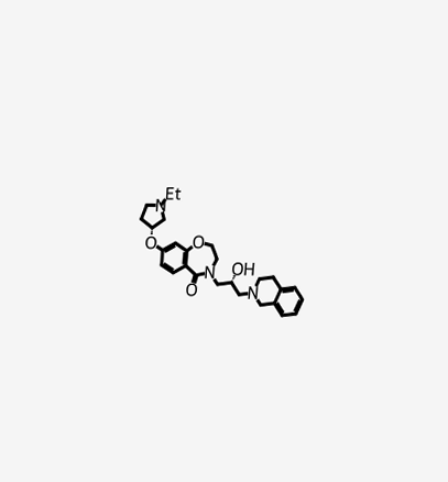 CCN1CC[C@@H](Oc2ccc3c(c2)OCCN(C[C@H](O)CN2CCc4ccccc4C2)C3=O)C1